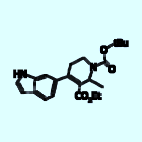 CCOC(=O)C1=C(c2ccc3cc[nH]c3c2)CCN(C(=O)OC(C)(C)C)C1C